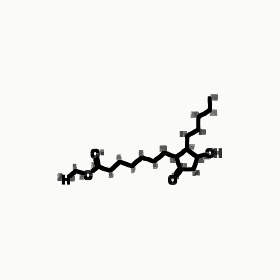 [2H]COC(=O)CCCCCCC1C(=O)CC(O)C1CCCCC